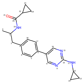 CC(Cc1ccc(-c2cnc(NC3CC3)nc2)cc1)NC(=O)C1CC1